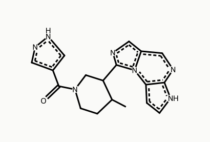 CC1CCN(C(=O)c2cn[nH]c2)CC1c1ncc2cnc3[nH]ccc3n12